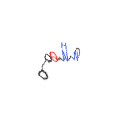 c1ccc(Cc2ccc(OCCCNCCCN3CCCCC3)cc2)cc1